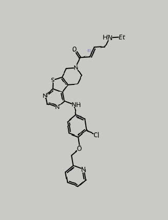 CCNC/C=C/C(=O)N1CCc2c(sc3ncnc(Nc4ccc(OCc5ccccn5)c(Cl)c4)c23)C1